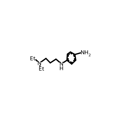 CCN(CC)CCCNc1ccc(N)cc1